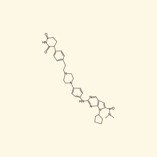 CN(C)C(=O)c1cc2cnc(Nc3ccc(N4CCN(CCc5ccc(C6CCC(=O)NC6=O)cc5)CC4)cc3)nc2n1C1CCCC1